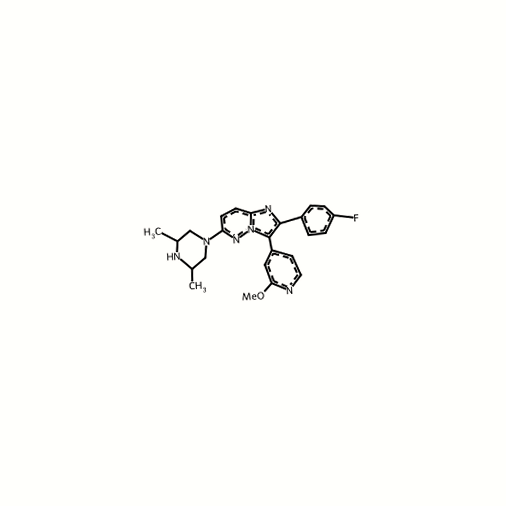 COc1cc(-c2c(-c3ccc(F)cc3)nc3ccc(N4CC(C)NC(C)C4)nn23)ccn1